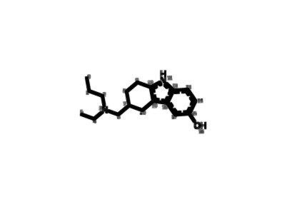 CCCN(CC)CC1CCc2[nH]c3ccc(O)cc3c2C1